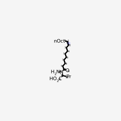 CCCCCCCC/C=C\CCCCCCCC(=O)N(N)C(C(=O)O)C(C)C